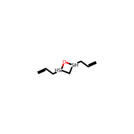 C=CC[SiH]1C[SiH](CC=C)O1